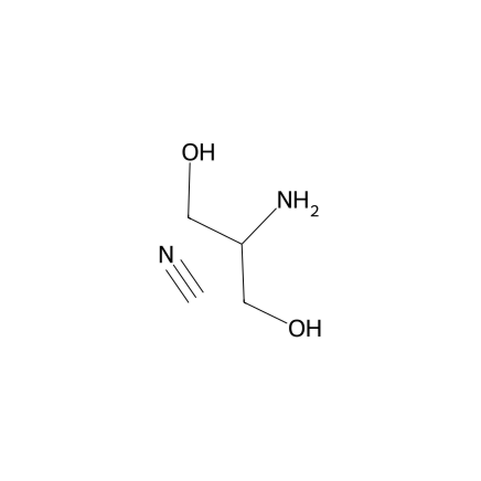 C#N.NC(CO)CO